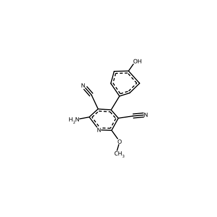 COc1nc(N)c(C#N)c(-c2ccc(O)cc2)c1C#N